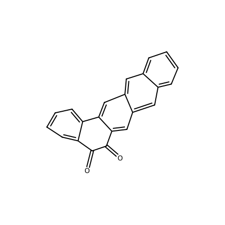 O=C1C(=O)c2cc3cc4ccccc4cc3cc2-c2ccccc21